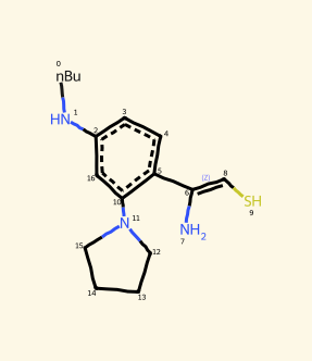 CCCCNc1ccc(/C(N)=C/S)c(N2CCCC2)c1